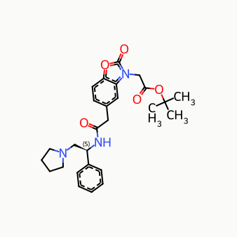 CC(C)(C)OC(=O)Cn1c(=O)oc2ccc(CC(=O)N[C@H](CN3CCCC3)c3ccccc3)cc21